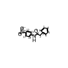 O=C(Cc1ccccc1)Nc1ccc([N+](=O)[O-])cc1